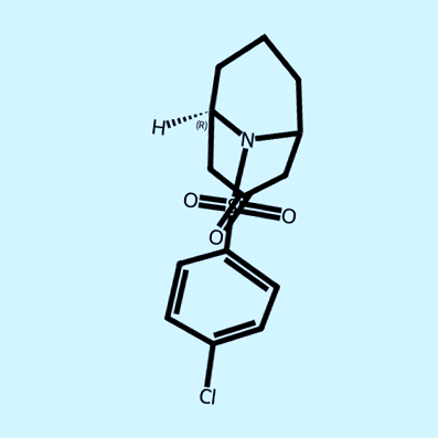 O=C1CC2CCC[C@H](C1)N2S(=O)(=O)c1ccc(Cl)cc1